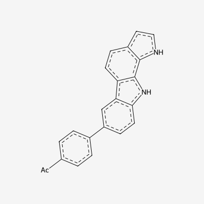 CC(=O)c1ccc(-c2ccc3[nH]c4c(ccc5cc[nH]c54)c3c2)cc1